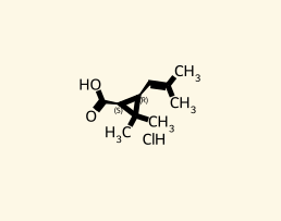 CC(C)=C[C@@H]1[C@H](C(=O)O)C1(C)C.Cl